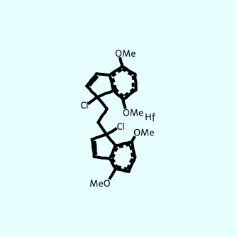 COc1ccc(OC)c2c1C=CC2(Cl)CCC1(Cl)C=Cc2c(OC)ccc(OC)c21.[Hf]